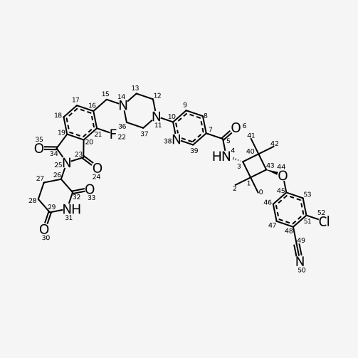 CC1(C)[C@H](NC(=O)c2ccc(N3CCN(Cc4ccc5c(c4F)C(=O)N(C4CCC(=O)NC4=O)C5=O)CC3)nc2)C(C)(C)[C@H]1Oc1ccc(C#N)c(Cl)c1